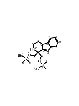 CC(C)(C)[Si](C)(C)OCC1(CO[Si](C)(C)C(C)(C)C)NCCC2C1=Nc1ccccc12